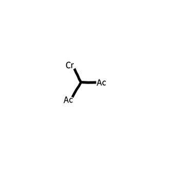 CC(=O)[CH]([Cr])C(C)=O